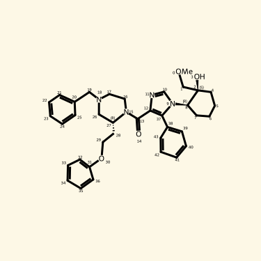 COC[C@]1(O)CCCC[C@H]1n1cnc(C(=O)N2CCN(Cc3ccccc3)C[C@H]2CCOc2ccccc2)c1-c1ccccc1